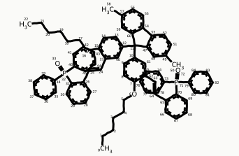 CCCCCCOc1ccc(C2(c3ccc(OCCCCCC)c(/C=C/c4ccccc4P(=O)(c4ccccc4)c4ccccc4)c3)c3cc(C)ccc3-c3ccc(C)cc32)cc1/C=C/c1ccccc1P(=O)(c1ccccc1)c1ccccc1